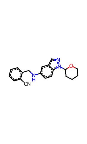 N#Cc1ccccc1CNc1ccc2c(cnn2C2CCCCO2)c1